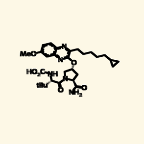 COc1ccc2nc(CCCCCC3CC3)c(O[C@@H]3C[C@@H](C(N)=O)N(C(=O)[C@@H](NC(=O)O)C(C)(C)C)C3)nc2c1